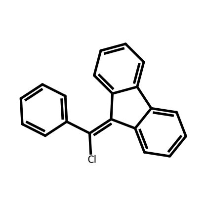 ClC(=C1c2ccccc2-c2ccccc21)c1ccccc1